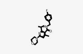 Cc1cc(N2CCOCC2)nc(C(C)C)c1C(=O)NCc1ccc(F)cc1